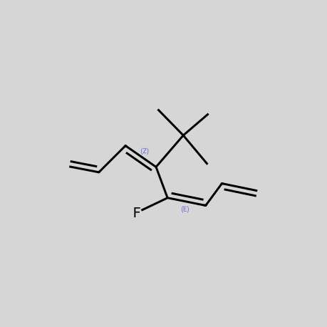 C=C/C=C(\C(F)=C/C=C)C(C)(C)C